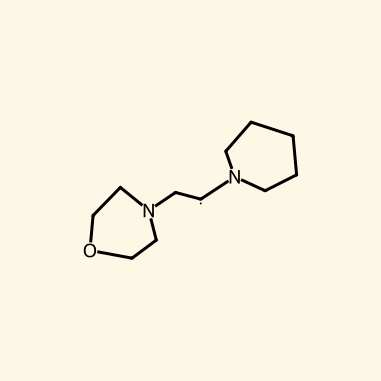 [CH](CN1CCOCC1)N1CCCCC1